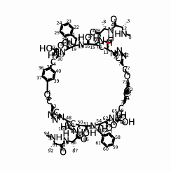 CN[C@@H](C)C(=O)N[C@@H](C)C(=O)N1C[C@@H]2C[C@H]1C(=O)N[C@@H](Cc1ccccc1)C(=O)N[C@H](C(=O)O)Cc1ccc(cc1)OCc1cn(nn1)[C@H]1C[C@@H](C(=O)N[C@@H](Cc3ccccc3)C(=O)N[C@H](C(=O)O)Cc3ccc(cc3)OCc3cn2nn3)N(C(=O)[C@H](C)NC(=O)[C@H](C)NC)C1